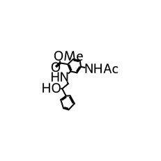 COC(=O)c1ccc(NC(C)=O)cc1NCC(O)c1ccccc1